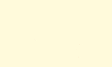 CC1(C)OB(c2ccc(CCNS(=O)(=O)c3ccc(Cl)cc3)cc2)OC1(C)C